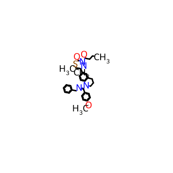 CCCC(=O)N1N=C(c2ccc3c(c2)CCCN3C(=NCc2ccccc2)c2ccc(OC)cc2)C(C)(C)SC1=O